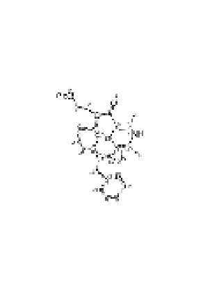 CC(=O)OCCOC(=O)C1=C(C)NC(C)=C([N+](=O)[O-])C1c1ccccc1OCc1ccccc1